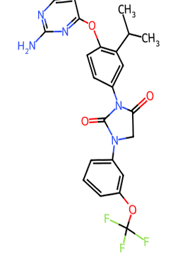 CC(C)c1cc(N2C(=O)CN(c3cccc(OC(F)(F)F)c3)C2=O)ccc1Oc1ccnc(N)n1